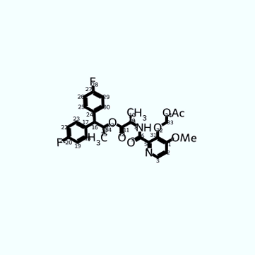 COc1ccnc(C(=O)N[C@H](C)C(=O)O[C@@H](C)C(c2ccc(F)cc2)c2ccc(F)cc2)c1OCOC(C)=O